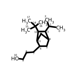 CC(C)C1C2CC(CCCO)C(C2)C1C(C)(C)C